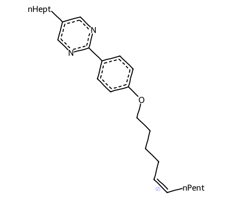 CCCCC/C=C\CCCCOc1ccc(-c2ncc(CCCCCCC)cn2)cc1